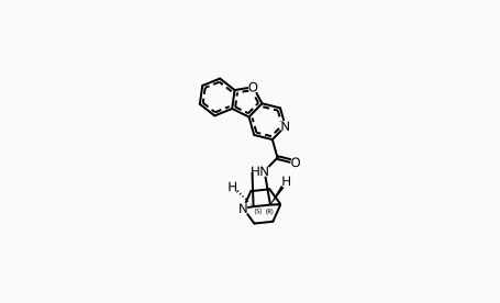 C[C@H]1[C@H](NC(=O)c2cc3c(cn2)oc2ccccc23)C2CCN1CC2